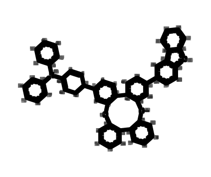 C1=CC(c2ccc3c(c2)Oc2ccccc2-c2ccccc2Oc2cc(-c4ccc5oc6ccccc6c5c4)ccc2-3)CC=C1N(c1ccccc1)c1ccccc1